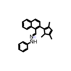 CC1=CC(C)=C(c2ccc3ccccc3c2/C=N/Nc2ccccc2)C1C